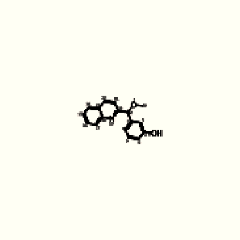 COC(c1cccc(O)c1)c1ccc2ccccc2n1